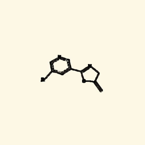 C=C1CN=C(c2cncc(Br)c2)O1